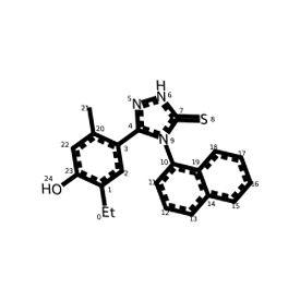 CCc1cc(-c2n[nH]c(=S)n2-c2cccc3ccccc23)c(C)cc1O